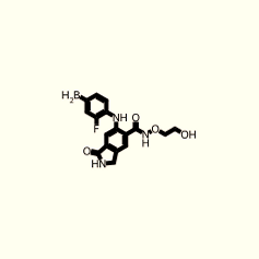 Bc1ccc(Nc2cc3c(cc2C(=O)NOCCO)CNC3=O)c(F)c1